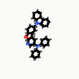 C1=CC2c3ccccc3N(c3ccc4oc5ncc(N(c6ccccc6)c6ccccc6)cc5c4c3)C2C=C1